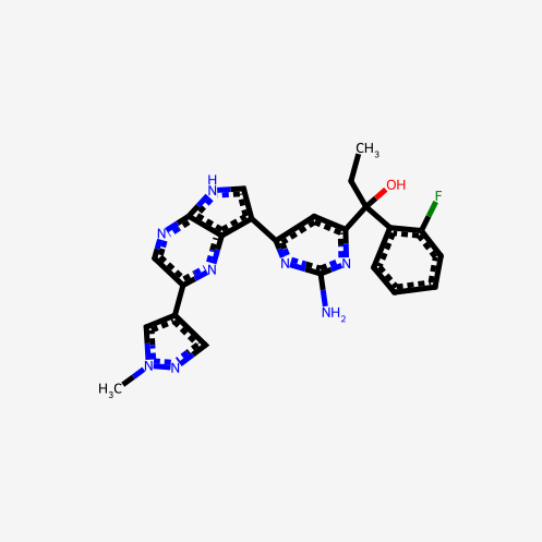 CCC(O)(c1cc(-c2c[nH]c3ncc(-c4cnn(C)c4)nc23)nc(N)n1)c1ccccc1F